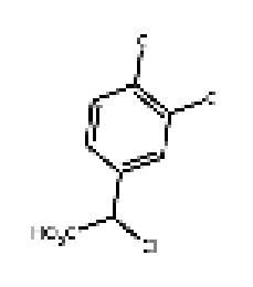 O=C(O)C(Cl)c1ccc(Cl)c(Cl)c1